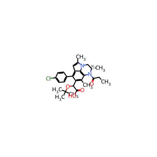 CCC(=O)N1c2c(C)c(C(OC(C)(C)C)C(=O)O)c(-c3ccc(Cl)cc3)c3cc(C)n(c23)C[C@@H]1C